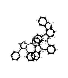 c1ccc(-c2nnn(-c3cccc4c3c3ccccc3n4-c3ccccc3-n3c4ccccc4c4c5c(ccc43)oc3ccccc35)c2-c2ccccc2)cc1